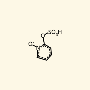 O=S(=O)(O)Oc1cccc[n+]1[O-]